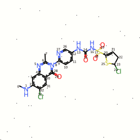 CNc1cc2nc(C)n(-c3ccc(NC(=O)NS(=O)(=O)C4=CCC(Cl)S4)cn3)c(=O)c2cc1Cl